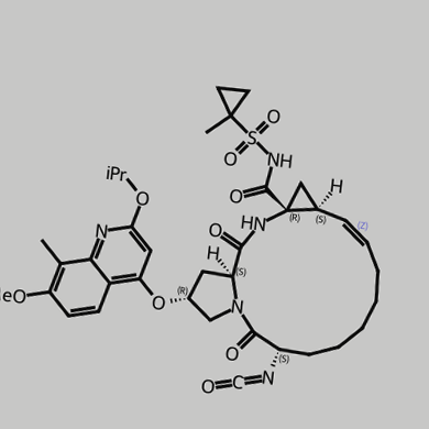 COc1ccc2c(O[C@@H]3C[C@H]4C(=O)N[C@]5(C(=O)NS(=O)(=O)C6(C)CC6)C[C@H]5/C=C\CCCCC[C@H](N=C=O)C(=O)N4C3)cc(OC(C)C)nc2c1C